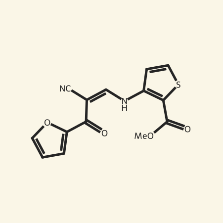 COC(=O)c1sccc1NC=C(C#N)C(=O)c1ccco1